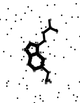 CC(C)CCn1cnc2ccc(CN)cc21